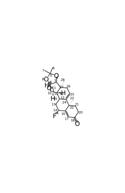 CC(=O)[C@@]12OC(C)(C)O[C@@H]1C[C@H]1[C@@H]3C[C@H](F)C4=CC(=O)CC[C@]4(C)C3=CC[C@@]12C